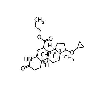 CCCOC(=O)C1C=C2NC(=O)CC[C@]2(C)[C@@H]2CC[C@]3(C)C(OC4CC4)CC[C@H]3[C@H]12